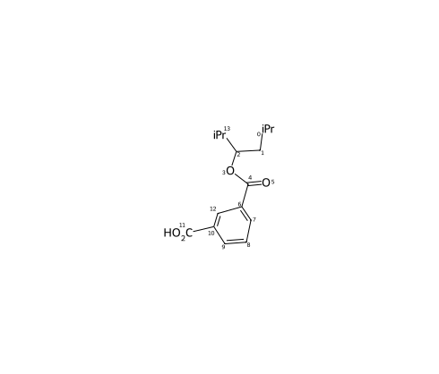 CC(C)CC(OC(=O)c1cccc(C(=O)O)c1)C(C)C